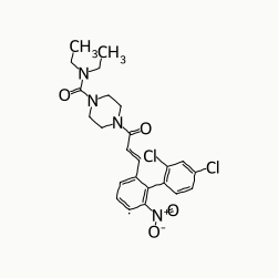 CCN(CC)C(=O)N1CCN(C(=O)/C=C/c2cc[c]c([N+](=O)[O-])c2-c2ccc(Cl)cc2Cl)CC1